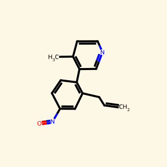 C=CCc1cc(N=O)ccc1-c1cnccc1C